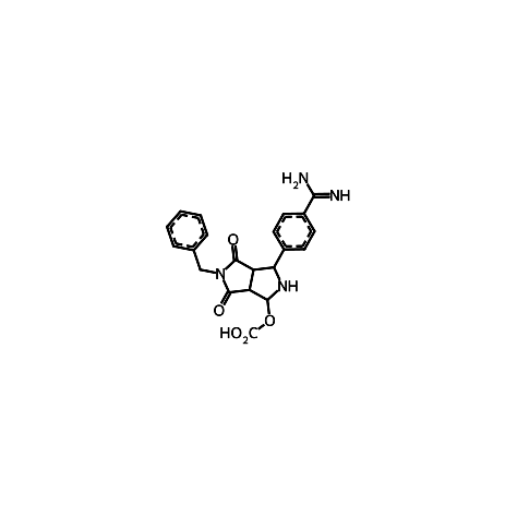 N=C(N)c1ccc(C2NC(OC(=O)O)C3C(=O)N(Cc4ccccc4)C(=O)C23)cc1